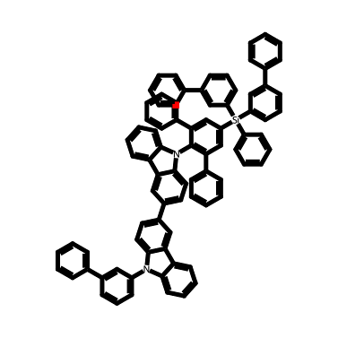 c1ccc(-c2cccc(-n3c4ccccc4c4cc(-c5ccc6c(c5)c5ccccc5n6-c5c(-c6ccccc6)cc([Si](c6ccccc6)(c6cccc(-c7ccccc7)c6)c6cccc(-c7ccccc7)c6)cc5-c5ccccc5)ccc43)c2)cc1